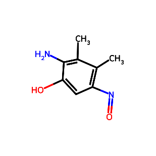 Cc1c(N=O)cc(O)c(N)c1C